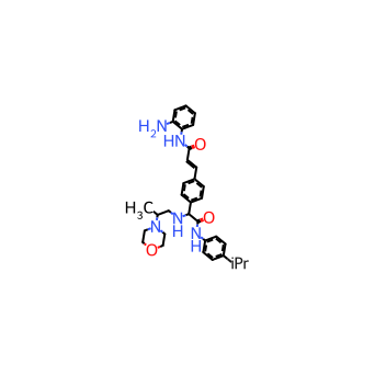 CC(C)c1ccc(NC(=O)C(NCC(C)N2CCOCC2)c2ccc(/C=C/C(=O)Nc3ccccc3N)cc2)cc1